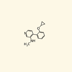 CNc1cnccc1-c1ccccc1OC1CC1